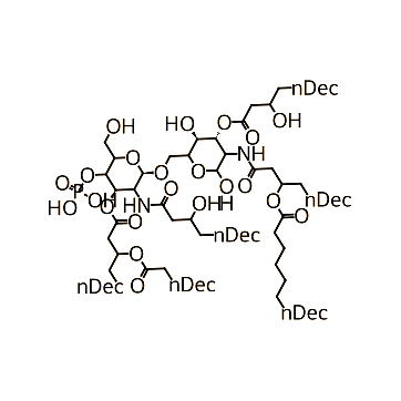 CCCCCCCCCCCCCCCC(=O)OC(CCCCCCCCCCC)CC(=O)NC1C(O)OC(CO[C@@H]2OC(CO)C(OP(=O)(O)O)[C@H](OC(=O)CC(CCCCCCCCCCC)OC(=O)CCCCCCCCCCC)C2NC(=O)CC(O)CCCCCCCCCCC)[C@@H](O)[C@@H]1OC(=O)CC(O)CCCCCCCCCCC